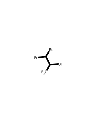 CCC(C(C)C)C(O)C(F)(F)F